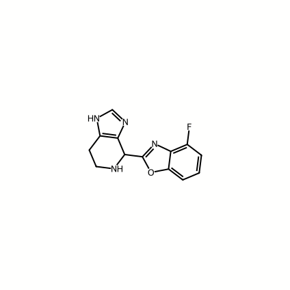 Fc1cccc2oc(C3NCCc4[nH]cnc43)nc12